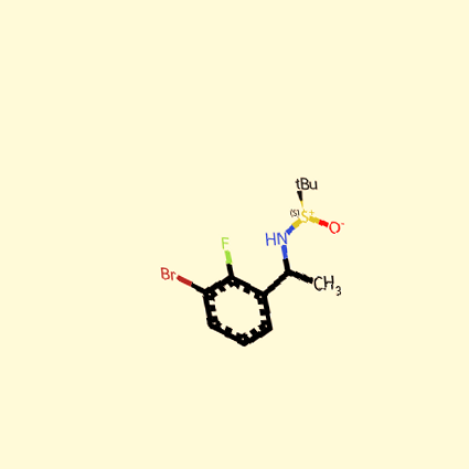 CC(N[S@+]([O-])C(C)(C)C)c1cccc(Br)c1F